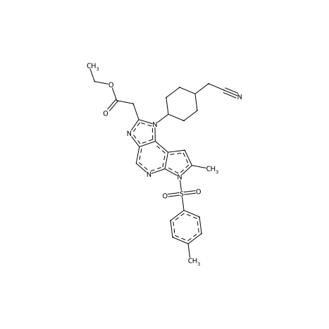 CCOC(=O)Cc1nc2cnc3c(cc(C)n3S(=O)(=O)c3ccc(C)cc3)c2n1C1CCC(CC#N)CC1